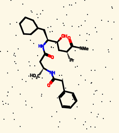 CNC(=O)[C@@H](C[C@H](O)[C@H](CC1CCCCC1)NC(=O)C[C@H](NC(=O)Cc1ccccc1)C(=O)O)C(C)C